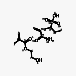 C=C(C)C(=O)OCCO.C=CC(N)=O.CCC(C)S(=O)(=O)O